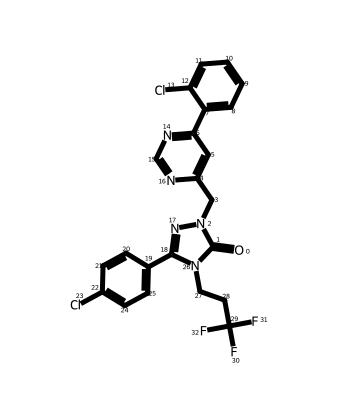 O=c1n(Cc2cc(-c3ccccc3Cl)ncn2)nc(-c2ccc(Cl)cc2)n1CCC(F)(F)F